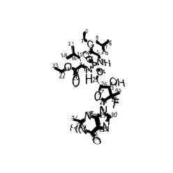 CCOC(=O)[C@H](CC(C)C)NP(=O)(N[C@@H](CC(C)C)C(=O)OCC)OC[C@H]1O[C@@H](n2cnc3c(=O)[nH]c(C)nc32)C(C)(F)[C@H]1O